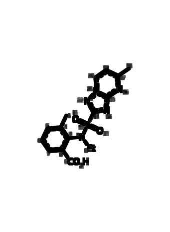 CCN(c1c(C)cccc1C(=O)O)S(=O)(=O)c1nc2nc(C)ccn2n1